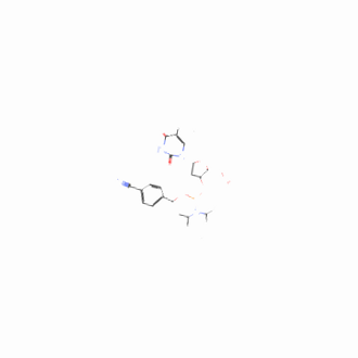 [2H]OC[C@H]1O[C@@H](n2cc(C)c(=O)[nH]c2=O)CC1OP(OCc1ccc(C#N)cc1)N(C(C)C)C(C)C